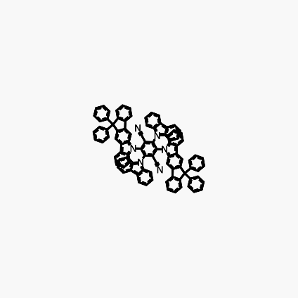 N#Cc1c(-n2c3ccccc3c3ccccc32)c(-n2c3ccccc3c3cc4c(cc32)-c2ccccc2C4(c2ccccc2)c2ccccc2)c(C#N)c(-n2c3ccccc3c3ccccc32)c1-n1c2ccccc2c2cc3c(cc21)-c1ccccc1C3(c1ccccc1)c1ccccc1